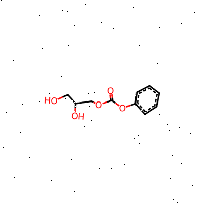 O=C(OCC(O)CO)Oc1ccccc1